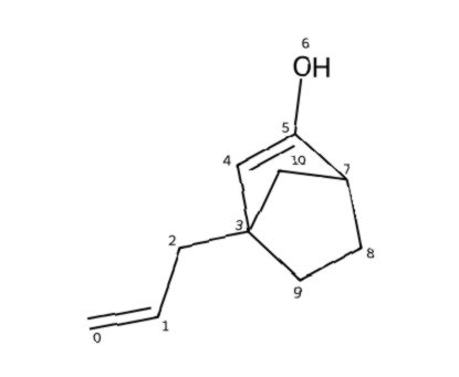 C=CCC12C=C(O)C(CC1)C2